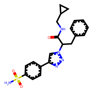 NS(=O)(=O)c1ccc(-c2cn(C(Cc3ccccc3)C(=O)NCC3CC3)nn2)cc1